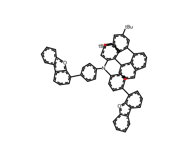 CC(C)(C)c1cc(-c2cccc3cccc(-c4ccccc4N(c4ccc(-c5cccc6c5oc5ccccc56)cc4)c4ccc(-c5cccc6c5oc5ccccc56)cc4)c23)cc(C(C)(C)C)c1